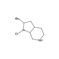 CCN1C2CNCCC2CC1C(C)(C)C